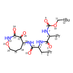 CC(C)CC(NC(=O)C(NC(=O)OCC(C)(C)C)C(C)C)C(=O)NC1CCCONC(=O)C1=O